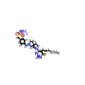 CSCc1cc2c(N3CCC4(CCN(Cc5ccc(CS(N)(=O)=O)cc5)C4)C3)ncnc2s1